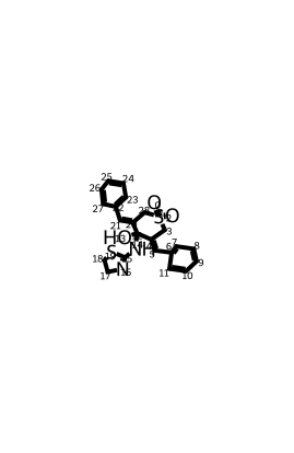 O=S1(=O)CC(=Cc2ccccc2)C(O)(NC2=NCCS2)C(=Cc2ccccc2)C1